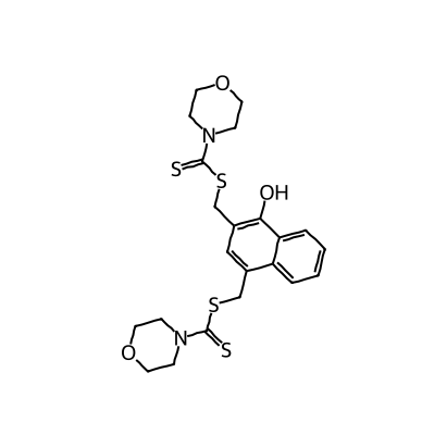 Oc1c(CSC(=S)N2CCOCC2)cc(CSC(=S)N2CCOCC2)c2ccccc12